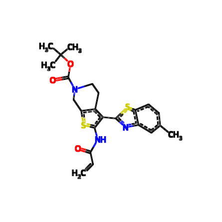 C=CC(=O)Nc1sc2c(c1-c1nc3cc(C)ccc3s1)CCN(C(=O)OC(C)(C)C)C2